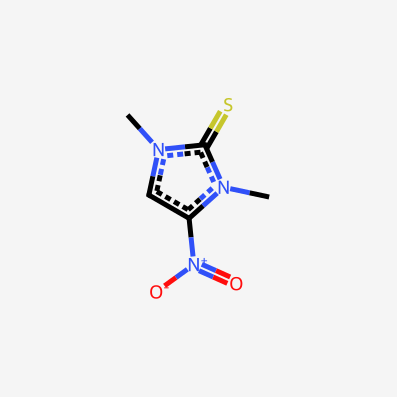 Cn1cc([N+](=O)[O-])n(C)c1=S